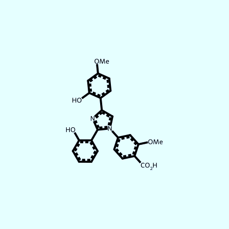 COc1ccc(-c2cn(-c3ccc(C(=O)O)c(OC)c3)c(-c3ccccc3O)n2)c(O)c1